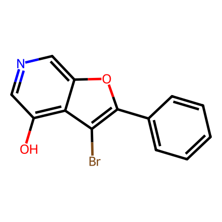 Oc1cncc2oc(-c3ccccc3)c(Br)c12